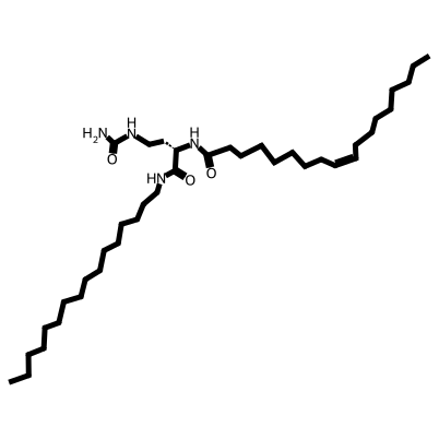 CCCCCCCC/C=C\CCCCCCCC(=O)N[C@@H](CCNC(N)=O)C(=O)NCCCCCCCCCCCCCCCC